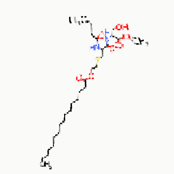 CCCCCCCCCCCCCCCC(=O)OCCSCC(NC(=O)CCC)C(=O)NC(CO)C(=O)OC